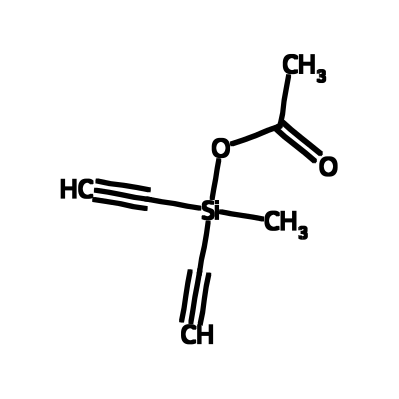 C#C[Si](C)(C#C)OC(C)=O